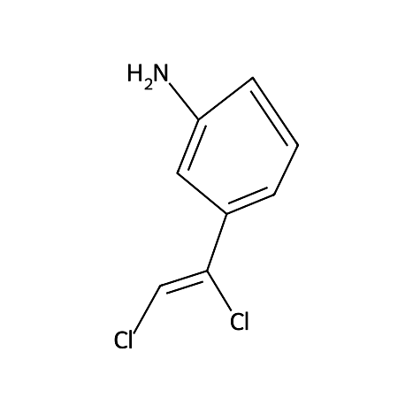 Nc1cccc(C(Cl)=CCl)c1